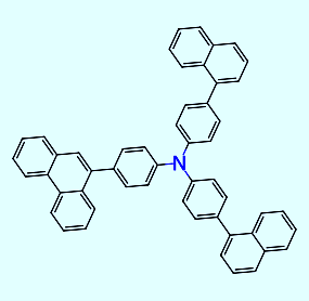 c1ccc2c(-c3ccc(N(c4ccc(-c5cccc6ccccc56)cc4)c4ccc(-c5cc6ccccc6c6ccccc56)cc4)cc3)cccc2c1